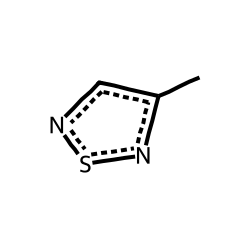 Cc1cnsn1